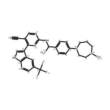 CC(Nc1ncc(C#N)c(-c2c[nH]c3ncc(C(F)(F)F)cc23)n1)c1ccc(N2CCCN(C)CC2)cc1